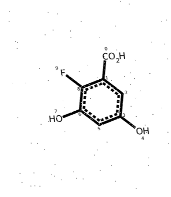 O=C(O)c1cc(O)cc(O)c1F